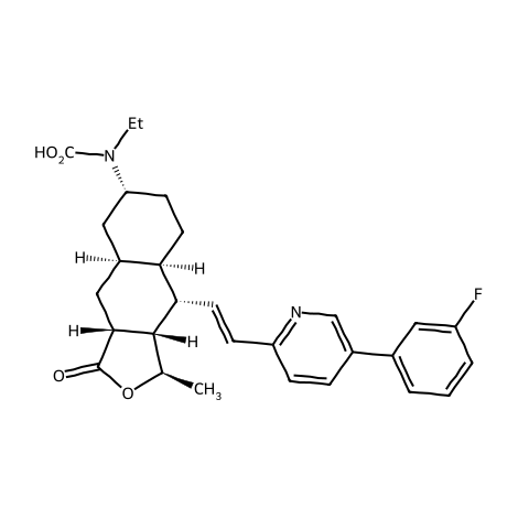 CCN(C(=O)O)[C@@H]1CC[C@@H]2[C@H](C1)C[C@H]1C(=O)O[C@H](C)[C@H]1[C@H]2C=Cc1ccc(-c2cccc(F)c2)cn1